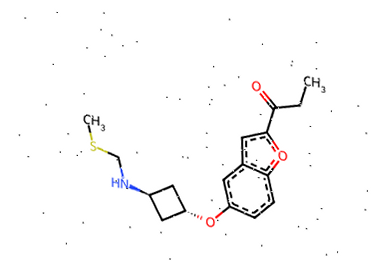 CCC(=O)c1cc2cc(O[C@H]3C[C@H](NCSC)C3)ccc2o1